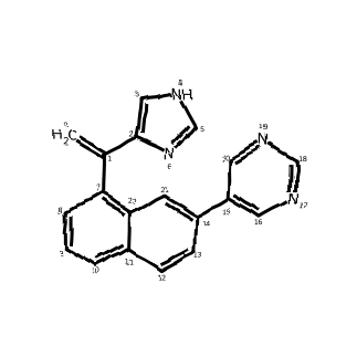 C=C(c1c[nH]cn1)c1cccc2ccc(-c3cncnc3)cc12